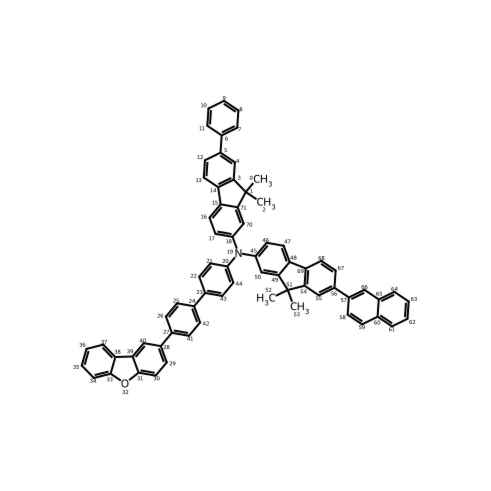 CC1(C)c2cc(-c3ccccc3)ccc2-c2ccc(N(c3ccc(-c4ccc(-c5ccc6oc7ccccc7c6c5)cc4)cc3)c3ccc4c(c3)C(C)(C)c3cc(-c5ccc6ccccc6c5)ccc3-4)cc21